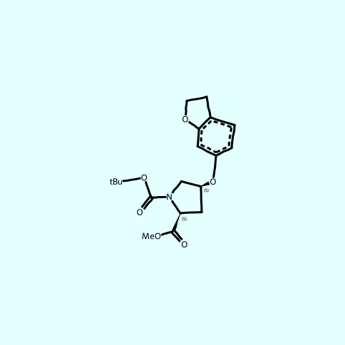 COC(=O)[C@@H]1C[C@H](Oc2ccc3c(c2)OCC3)CN1C(=O)OC(C)(C)C